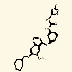 COc1cc2c(Oc3cccc(NC(=O)Nc4cc(C(C)(C)C)no4)c3)ncnc2cc1OCC1CCNCC1